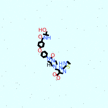 COC(=O)C1=C(CN2CCN3C(=O)N(c4ccc(Oc5ccc(C(=O)NC(C)(C)CO)cc5)cc4)C[C@@H]3C2)NC(c2nccs2)=NC1